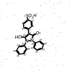 O=c1c(-c2ccc(S(=O)(=O)O)cc2)c(O)n(-c2ccccc2)n1-c1ccccc1